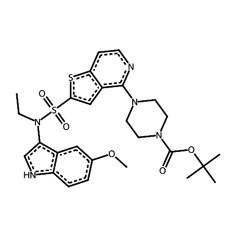 CCN(c1c[nH]c2ccc(OC)cc12)S(=O)(=O)c1cc2c(N3CCN(C(=O)OC(C)(C)C)CC3)nccc2s1